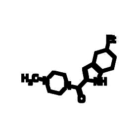 CCC1CCc2[nH]c(C(=O)N3CCN(C)CC3)cc2C1